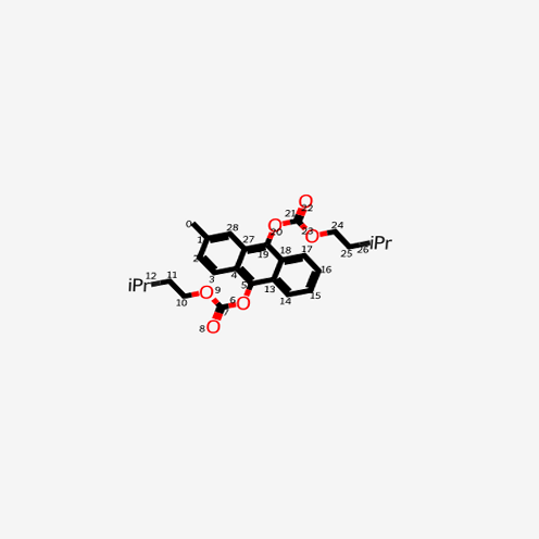 Cc1ccc2c(OC(=O)OCCC(C)C)c3ccccc3c(OC(=O)OCCC(C)C)c2c1